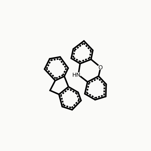 c1ccc2c(c1)Cc1ccccc1-2.c1ccc2c(c1)Nc1ccccc1O2